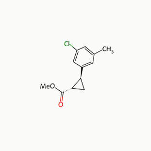 COC(=O)[C@H]1C[C@@H]1c1cc(C)cc(Cl)c1